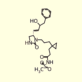 CS(=O)(=O)NC(=O)CCC1(CCCN2C(=O)NC[C@@H]2/C=C/C(O)Cc2ccccc2)CC1